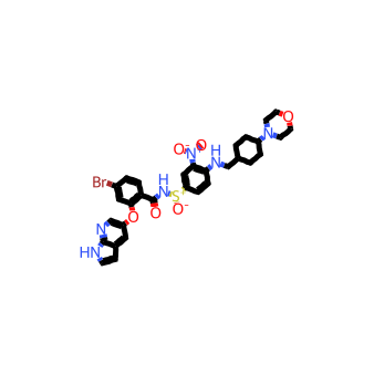 O=C(N[S+]([O-])c1ccc(NCC2CCC(N3CCOCC3)CC2)c([N+](=O)[O-])c1)c1ccc(Br)cc1Oc1cnc2[nH]ccc2c1